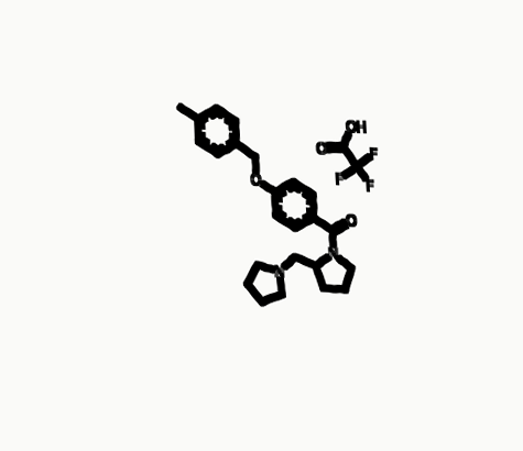 Cc1ccc(COc2ccc(C(=O)N3CCCC3CN3CCCC3)cc2)cc1.O=C(O)C(F)(F)F